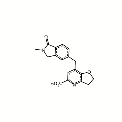 CN1Cc2cc(Cc3cc(C(=O)O)nc4c3OCC4)ccc2C1=O